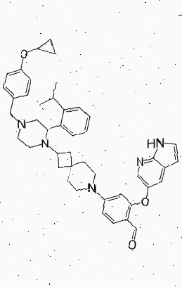 CC(C)c1ccccc1C1CN(Cc2ccc(OC3CC3)cc2)CCN1C1CC2(CCN(c3ccc(C=O)c(Oc4cnc5[nH]ccc5c4)c3)CC2)C1